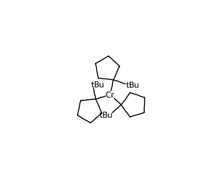 CC(C)(C)[C]1([Cr]([C]2(C(C)(C)C)CCCC2)[C]2(C(C)(C)C)CCCC2)CCCC1